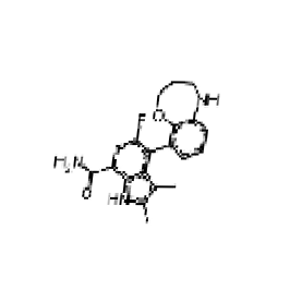 Cc1[nH]c2c(C(N)=O)cc(F)c(-c3cccc4c3OCCCN4)c2c1C